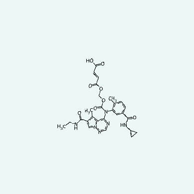 CCNC(=O)c1cn2ncnc(N(C(=O)OCOC(=O)/C=C/C(=O)O)c3cc(C(=O)NC4CC4)ccc3C)c2c1C